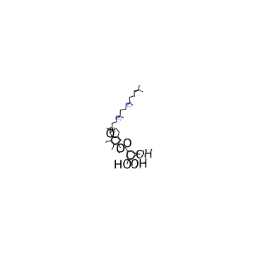 CC(C)=CCC/C(C)=C/CC/C(C)=C/CC[C@]1(C)CCc2cc(OC(=O)c3cc(O)c(O)c(O)c3)c(C)c(C)c2O1